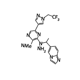 CNc1ncc(-c2cnn(CC(F)(F)F)c2)nc1N(N)C(C)c1ccc2nccn2c1